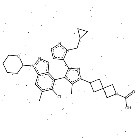 Cc1cc2c(cnn2C2CCCCO2)c(-c2c(-c3ccnn3CC3CC3)nn(C3CC4(C3)CN(C(=O)O)C4)c2C)c1Cl